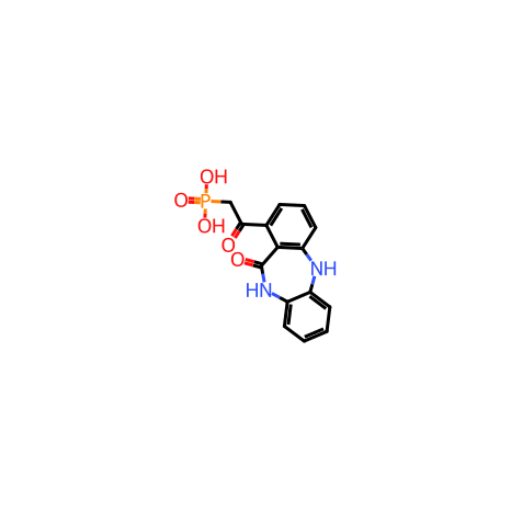 O=C(CP(=O)(O)O)c1cccc2c1C(=O)Nc1ccccc1N2